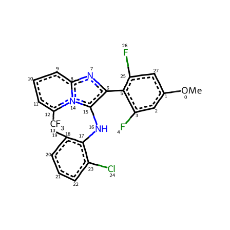 COc1cc(F)c(-c2nc3cccc(C(F)(F)F)n3c2Nc2c(C)cccc2Cl)c(F)c1